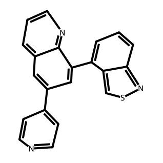 c1cnc2c(-c3cccc4nscc34)cc(-c3ccncc3)cc2c1